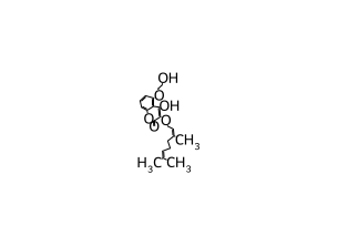 CC(C)=CCCC(C)=CCOc1c(O)c2c(OCCO)cccc2oc1=O